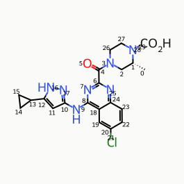 C[C@@H]1CN(C(=O)c2nc(Nc3cc(C4CC4)[nH]n3)c3cc(Cl)ccc3n2)CCN1C(=O)O